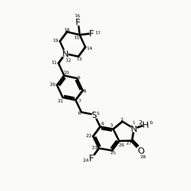 [2H]N1Cc2c(SCc3ccc(CN4CCC(F)(F)CC4)cc3)cc(F)cc2C1=O